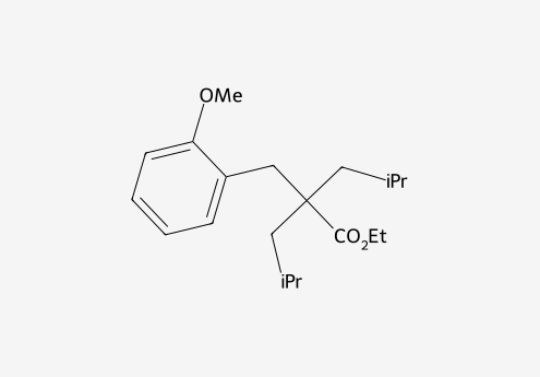 CCOC(=O)C(Cc1ccccc1OC)(CC(C)C)CC(C)C